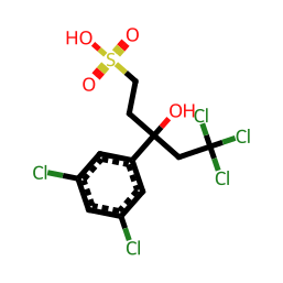 O=S(=O)(O)CCC(O)(CC(Cl)(Cl)Cl)c1cc(Cl)cc(Cl)c1